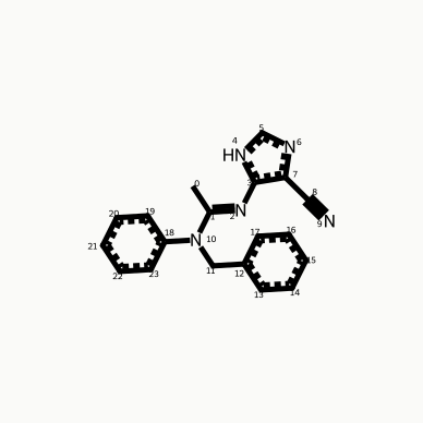 CC(=Nc1[nH]cnc1C#N)N(Cc1ccccc1)c1ccccc1